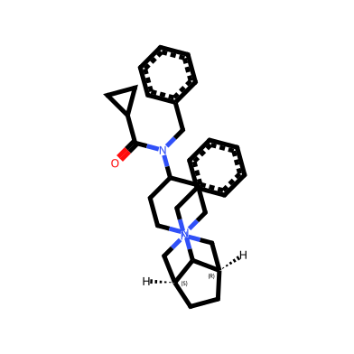 O=C(C1CC1)N(Cc1ccccc1)C1CCN(C2[C@@H]3CC[C@H]2CN(Cc2ccccc2)C3)CC1